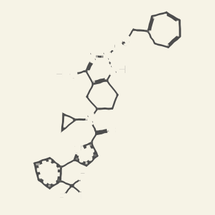 CC1=NN(COCC2=CC=CC=CC2)NC2=C1CC(N(C(=O)c1ccc(-c3ccccc3C(F)(F)F)o1)C1CC1)CC2